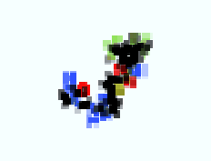 O=C1NCCN1CCNc1nccc(-c2ccc(S(=O)(=O)Nc3cc(C(F)(F)F)cc(C(F)(F)F)c3)s2)n1